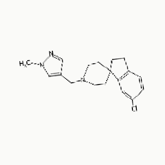 Cn1cc(CN2CCC3(CCc4ccc(Cl)cc43)CC2)cn1